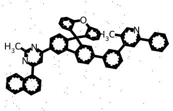 Cc1nc(-c2ccc3c(c2)-c2ccc(-c4cccc(-c5cc(-c6ccccc6)ncc5C)c4)cc2C32c3ccccc3Oc3ccccc32)cc(-c2cccc3ccccc23)n1